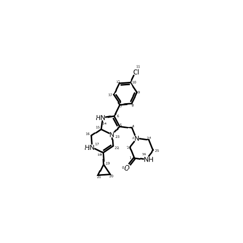 O=C1CN(CC2=C(c3ccc(Cl)cc3)NC3CNC(C4CC4)=CN23)CCN1